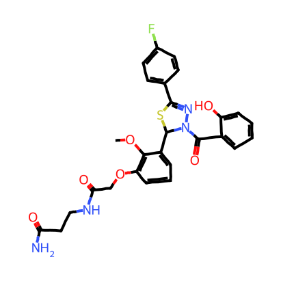 COc1c(OCC(=O)NCCC(N)=O)cccc1C1SC(c2ccc(F)cc2)=NN1C(=O)c1ccccc1O